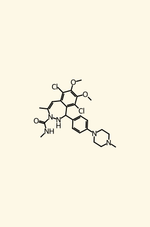 CNC(=O)N1NC(c2ccc(N3CCN(C)CC3)cc2)c2c(Cl)c(OC)c(OC)c(Cl)c2C=C1C